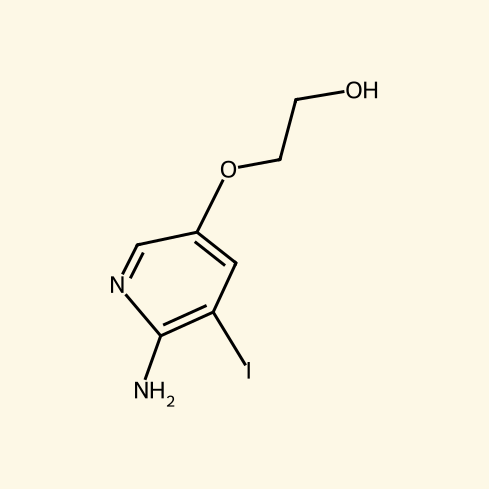 Nc1ncc(OCCO)cc1I